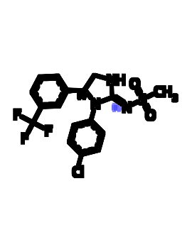 CS(=O)(=O)/N=C1\NC[C@H](c2cccc(C(F)(F)F)c2)N1c1ccc(Cl)cc1